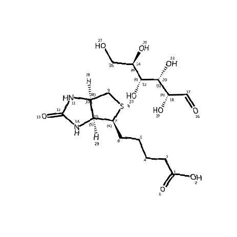 O=C(O)CCCC[C@@H]1SC[C@@H]2NC(=O)N[C@@H]21.O=C[C@H](O)[C@@H](O)[C@H](O)[C@H](O)CO